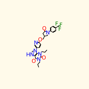 CCCn1c2c(c(=O)n(CCC)c1=O)NCN2c1ccc(OCC2CC(=O)N(c3ccc(C(F)(F)F)cc3)C2)nc1